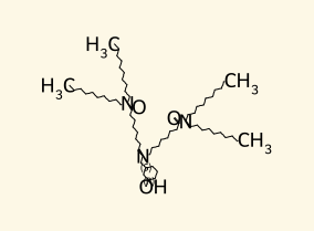 CCCCCCCCCCN(CCCCCCCCCC)C(=O)CCCCCCCN(CCCCCCCC(=O)N(CCCCCCCCCC)CCCCCCCCCC)C[C@H]1CCC[C@@H](O)C1